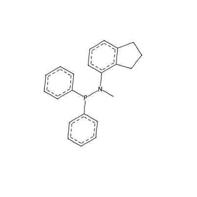 CN(c1cccc2c1CCC2)P(c1ccccc1)c1ccccc1